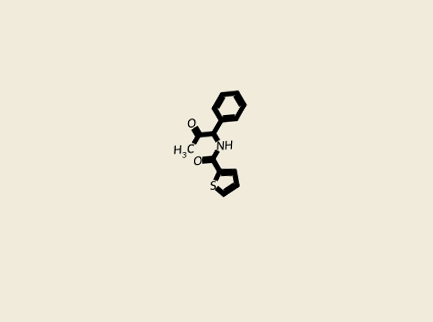 CC(=O)C(NC(=O)c1cccs1)c1ccccc1